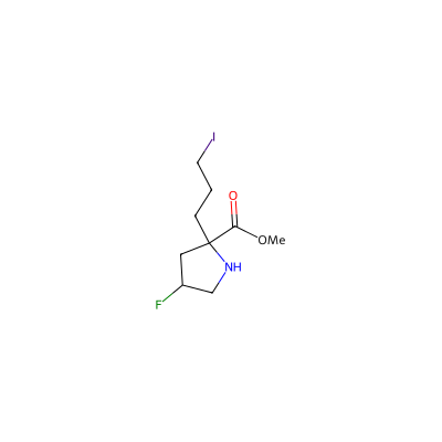 COC(=O)C1(CCCI)CC(F)CN1